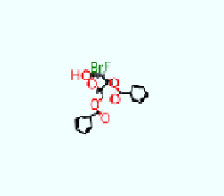 O=C(OC[C@H]1O[C@@](O)(Br)[C@H](F)[C@@H]1OC(=O)c1ccccc1)c1ccccc1